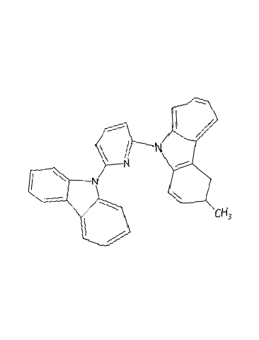 CC1C=Cc2c(c3ccccc3n2-c2cccc(-n3c4ccccc4c4ccccc43)n2)C1